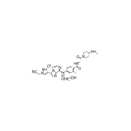 Cc1cc(Nc2nccn3c(-c4cn(CC#N)nc4C(F)(F)F)cnc23)ccc1C(=O)NCC(=O)N1CCC(N)CC1.O=CO